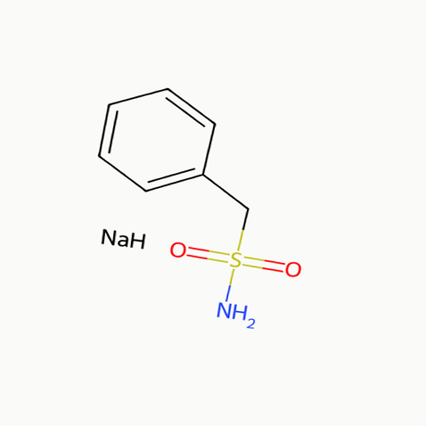 NS(=O)(=O)Cc1ccccc1.[NaH]